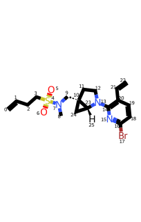 C=CCCS(=O)(=O)N(C)C[C@]12CCN(c3nc(Br)ccc3C=C)[C@@H]1C2